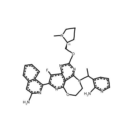 CC(c1cccnc1N)N1CCOc2nc(-c3nc(N)cc4ccccc34)c(F)c3nc(OC[C@@H]4CCCN4C)nc1c23